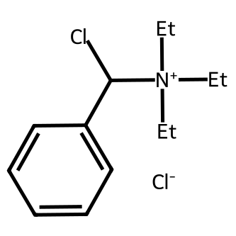 CC[N+](CC)(CC)C(Cl)c1ccccc1.[Cl-]